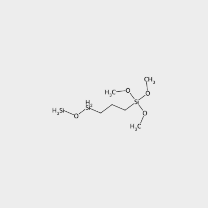 CO[Si](CCC[SiH2]O[SiH3])(OC)OC